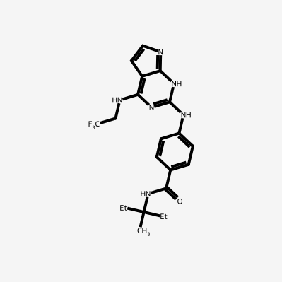 CCC(C)(CC)NC(=O)c1ccc(Nc2nc(NCC(F)(F)F)c3ccnc-3[nH]2)cc1